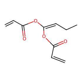 C=CC(=O)OC(=CCC)OC(=O)C=C